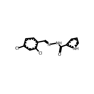 O=C(N/N=C/c1ccc(Cl)cc1Cl)c1ccc[nH]1